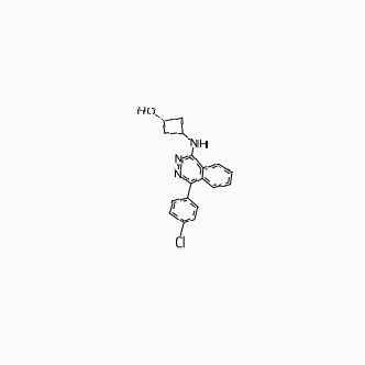 OC1CC(Nc2nnc(-c3ccc(Cl)cc3)c3ccccc23)C1